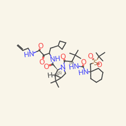 C=CCNC(=O)C(=O)C(CC1CCC1)NC(=O)[C@@H]1[C@@H]2C(CN1C(=O)[C@@H](NC(=O)NC1(CS(=O)(=O)C(C)(C)C)CCCCC1)C(C)(C)C)C2(C)C